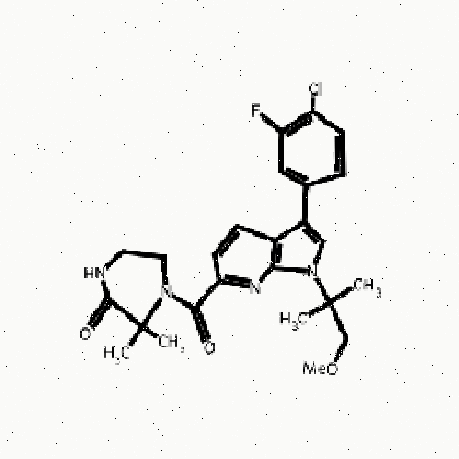 COCC(C)(C)n1cc(-c2ccc(Cl)c(F)c2)c2ccc(C(=O)N3CCNC(=O)C3(C)C)nc21